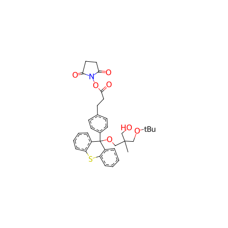 CC(CO)(COC(C)(C)C)COC1(c2ccc(CCC(=O)ON3C(=O)CCC3=O)cc2)c2ccccc2Sc2ccccc21